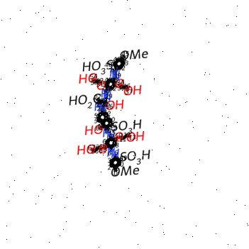 COc1ccc(/N=N/c2cc(OCCO)c(/N=N/c3c(S(=O)(=O)O)cc4cc(-n5nc(C(=O)O)c(/N=N/c6cc(OCCO)c(/N=N/c7ccc(OC)cc7S(=O)(=O)O)cc6OCCO)c5O)ccc4c3O)cc2OCCO)c(S(=O)(=O)O)c1